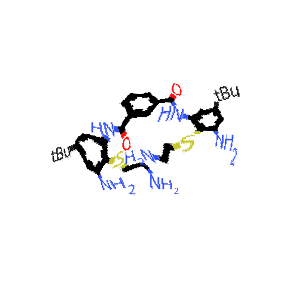 CC(C)(C)c1cc(N)c(SCCN)c(NC(=O)c2cccc(C(=O)Nc3cc(C(C)(C)C)cc(N)c3SCCN)c2)c1